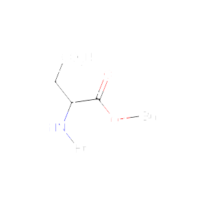 CCNC(CC(=O)O)C(=O)OC(C)CC